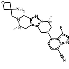 C[C@@H]1CN(c2ccc(C#N)n3ncc(F)c23)Cc2c3c(nn21)CN(CC1(N)COC1)[C@@H](C)C3